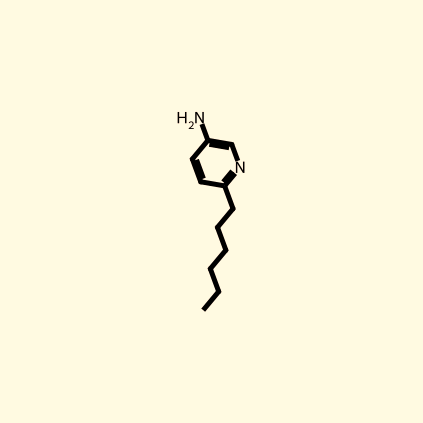 CCCCCCc1ccc(N)cn1